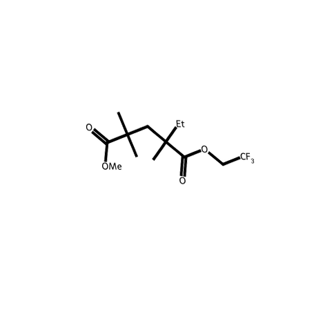 CCC(C)(CC(C)(C)C(=O)OC)C(=O)OCC(F)(F)F